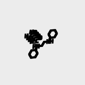 C1CCC(NCCNC2CCCCC2)CC1.C=O.C=O.C=O.C=O.[Mo]